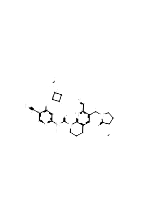 CO[C@H]1CCN(Cc2cc3c(nc2C=O)N(C(=O)Nc2cc(O[C@H]4CC[C@H]4OC)c(C#N)cn2)CCC3)C1=O